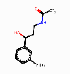 CCCCCCc1cccc(C(O)CCNC(=O)C(F)(F)F)c1